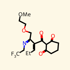 CC/C=C(C(=O)C1C(=O)CCCC1=O)\C(COCCOC)=N/CC(F)(F)F